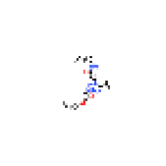 COCCNC(=O)c1ccc2c(c1)nc(Nc1nc3ccc(OCCOC)cc3o1)n2C